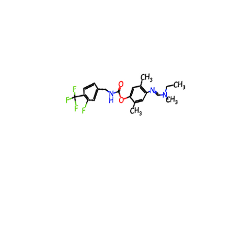 CCN(C)C=Nc1cc(C)c(OC(=O)NCc2ccc(C(F)(F)F)c(F)c2)cc1C